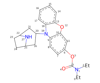 CCN(CC)C(=O)Oc1ccc2c(c1)Oc1ccccc1N2C1CC2CCC(C1)N2